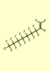 [O]C(F)(F)C(F)(F)C(F)(F)C(F)(F)C(F)(F)C(F)(F)C(F)(F)C(F)=C(F)F